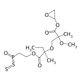 CCC(C)(OCC(C)(OC)C(=O)OC1CO1)C(=O)OCCP(=O)=S=S